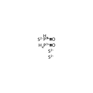 O=[PH4+3].O=[PH4+3].[S-2].[S-2].[S-2]